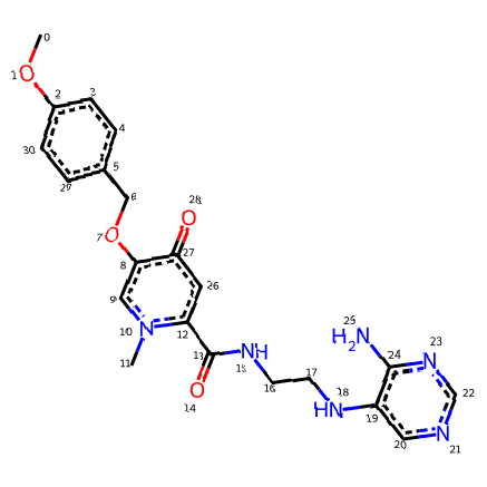 COc1ccc(COc2cn(C)c(C(=O)NCCNc3cncnc3N)cc2=O)cc1